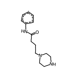 O=C(CCCN1CCNCC1)Nc1cc[c]cc1